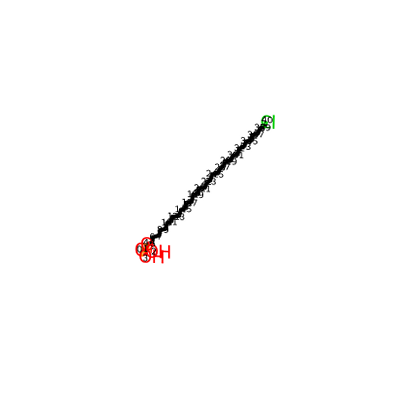 O=P(O)(O)OCCCCCCCCCCCCCCCCCCCCCCCCCCCCCCCCCCCCl